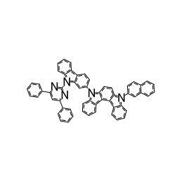 c1ccc(-c2cc(-c3ccccc3)nc(-n3c4ccccc4c4ccc(-n5c6ccccc6c6c7c8ccccc8n(-c8ccc9ccccc9c8)c7ccc65)cc43)n2)cc1